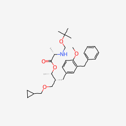 COc1ccc(C[C@H](COCC2CC2)[C@H](C)OC(=O)[C@H](C)NCOC(C)(C)C)cc1Cc1ccccc1